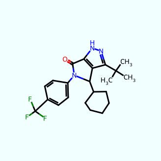 CC(C)(C)c1n[nH]c2c1C(C1CCCCC1)N(c1ccc(C(F)(F)F)cc1)C2=O